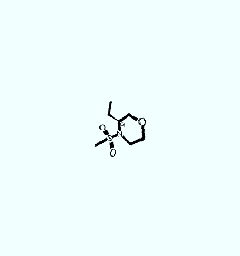 CC[C@H]1COCCN1S(C)(=O)=O